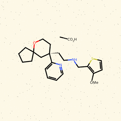 CC(=O)O.COc1ccsc1CNCC[C@@]1(c2ccccn2)CCOC2(CCCC2)C1